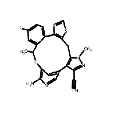 C#Cc1nn(C)c2c1-c1cnc(N)c(c1)OC(C)c1cc(F)ccc1-c1ncsc1C2